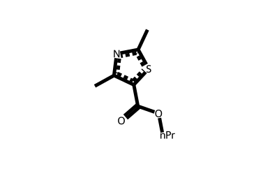 CCCOC(=O)c1sc(C)nc1C